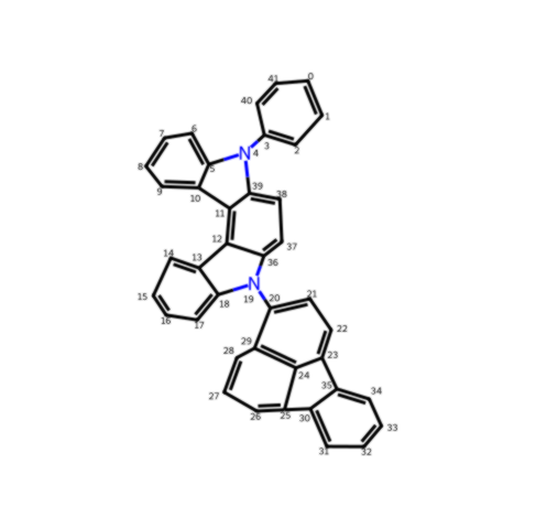 c1ccc(-n2c3ccccc3c3c4c5ccccc5n(-c5ccc6c7c(cccc57)-c5ccccc5-6)c4ccc32)cc1